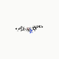 CC(=O)Nc1ccc(-c2nnc(CC(=O)CCc3ccc(C)cc3)n2C)cc1